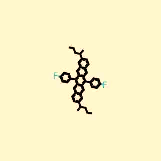 CCCC(C)c1ccc2cc3c(-c4ccc(F)cc4)c4cc5cc(C(C)CCC)ccc5cc4c(-c4ccc(F)cc4)c3cc2c1